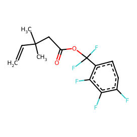 C=CC(C)(C)CC(=O)OC(F)(F)c1ccc(F)c(F)c1F